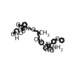 CN(CCOCCNc1cccc2c1C(=O)N(C1CCC(=O)NC1=O)C2=O)CCC(=O)N1CCC([C@@H]2CCNc3c(C(N)=O)c(-c4ccc(Oc5ccccc5)cc4)nn32)CC1